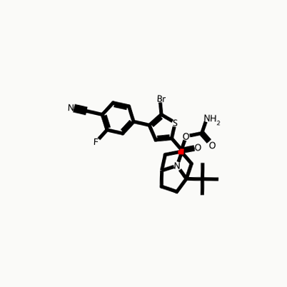 CC(C)(C)C12CCC(CC(OC(N)=O)C1)N2C(=O)c1cc(-c2ccc(C#N)c(F)c2)c(Br)s1